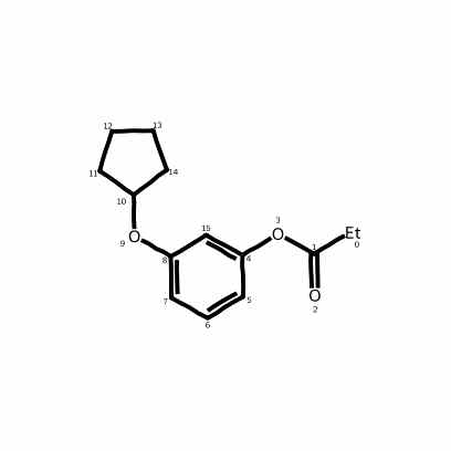 CCC(=O)Oc1cccc(OC2CCCC2)c1